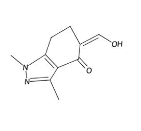 Cc1nn(C)c2c1C(=O)C(=CO)CC2